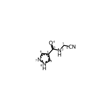 N#CCNC(=O)c1cn[nH]c1